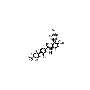 COc1ccc(NC(=O)c2ccc(-c3ccc(SC)cc3)c(C)c2)cc1N1CCN(C)CC1